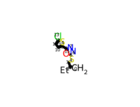 C=C(CC)CSc1nnc(-c2ccc(Cl)s2)o1